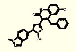 CC(=O)N1N=C(c2c(Cc3ccccc3)c3cc(Cl)ccc3[nH]c2=O)CC1c1ccc2c(cnn2C)c1